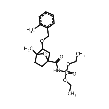 CCOP(=O)(NC(=O)C12CCC(C)(O1)C(OCc1ccccc1C)C2)OCC